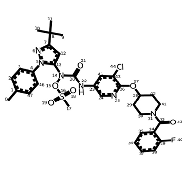 Cc1ccc(-n2nc(C(C)(C)C)cc2N(OS(C)(=O)=O)C(=O)Nc2cnc(OC3CCN(C(=O)c4ccccc4F)CC3)c(Cl)c2)cc1